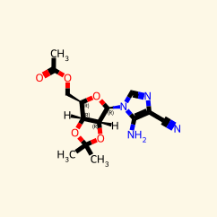 CC(=O)OC[C@H]1O[C@@H](n2cnc(C#N)c2N)[C@@H]2OC(C)(C)O[C@@H]21